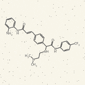 CN(C)CCNC(C(=O)Nc1ccc(C(F)(F)F)cc1)c1ccc(/C=C/C(=O)Nc2ccccc2N)cc1